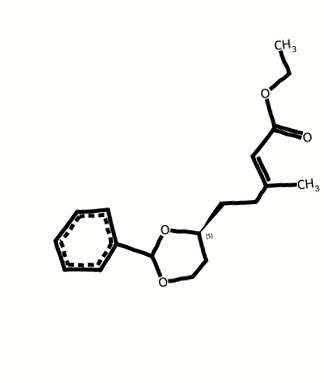 CCOC(=O)C=C(C)CC[C@H]1CCOC(c2ccccc2)O1